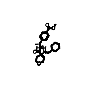 COC(=O)c1ccc([C@H](C)NC(=O)C2(NCC3CCCCC3)CCOCC2)cc1